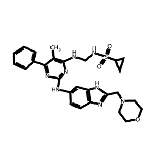 Cc1c(NCNS(=O)(=O)C2CC2)nc(Nc2ccc3nc(CN4CCOCC4)[nH]c3c2)nc1-c1ccccc1